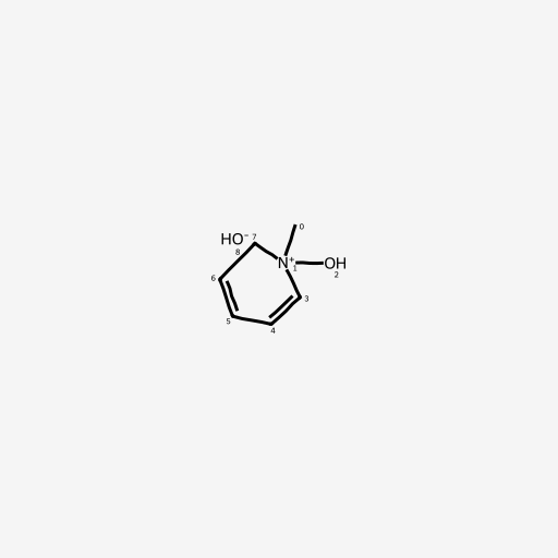 C[N+]1(O)C=CC=CC1.[OH-]